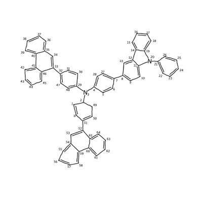 C1=CC(N(c2ccc(-c3ccc4c(c3)c3ccccc3n4-c3ccccc3)cc2)c2ccc(-c3cc4ccccc4c4ccccc34)cc2)CC=C1c1cc2ccccc2c2ccccc12